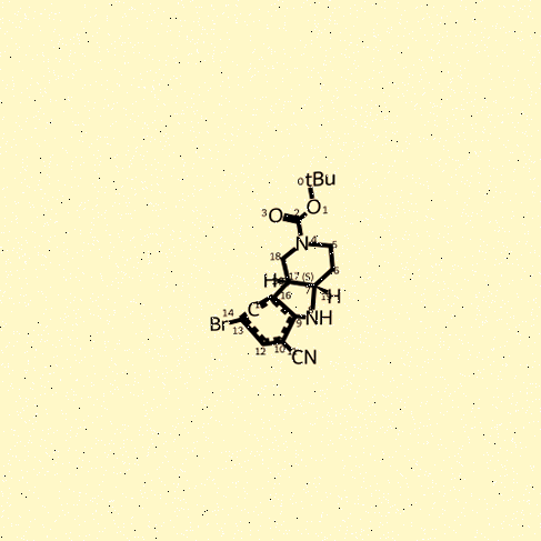 CC(C)(C)OC(=O)N1CC[C@@H]2Nc3c(C#N)cc(Br)cc3[C@@H]2C1